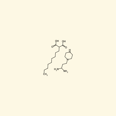 CCCCCCCCCC(C(=O)O)C(=O)O.NC(N)CCN1CCNCC1